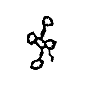 C=CCc1cccc2c(C#Cc3ccccc3)c3ccccc3c(C#Cc3ccccc3)c12